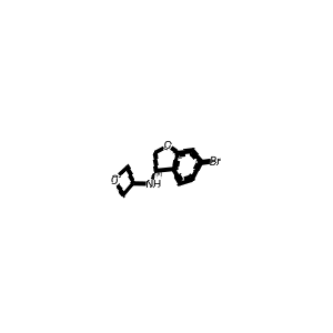 Brc1ccc2c(c1)OC[C@@H]2NC1COC1